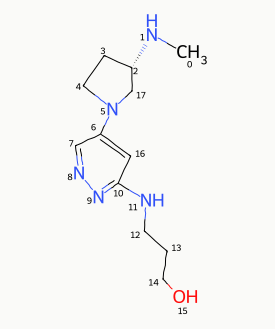 CN[C@H]1CCN(c2cnnc(NCCCO)c2)C1